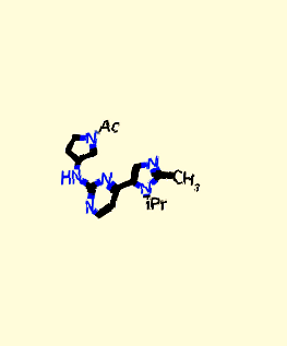 CC(=O)N1CCC(Nc2nccc(-c3cnc(C)n3C(C)C)n2)C1